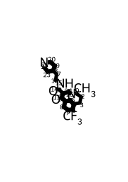 CC1CCc2cc(C(F)(F)F)cc3c(=O)c(C(=O)NCCc4ccncc4)cn1c23